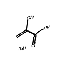 C=C(O)C(=O)O.[NaH]